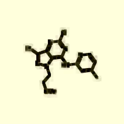 CCc1nn(CCOC)c2c(Nc3cc(C)ccn3)nc(Cl)nc12